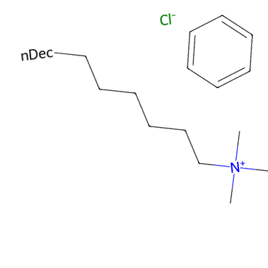 CCCCCCCCCCCCCCCC[N+](C)(C)C.[Cl-].c1ccccc1